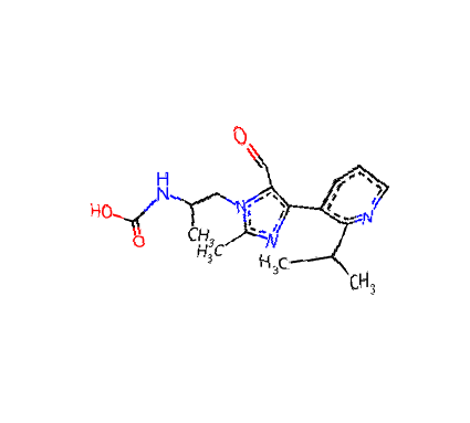 Cc1nc(-c2cccnc2C(C)C)c(C=O)n1CC(C)NC(=O)O